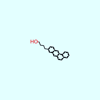 OCCCCc1ccc2cc3c(ccc4ccccc43)cc2c1